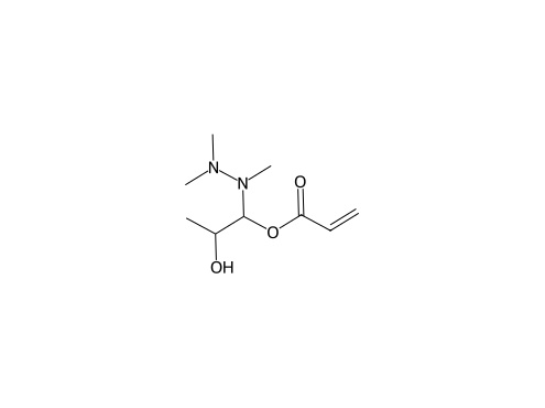 C=CC(=O)OC(C(C)O)N(C)N(C)C